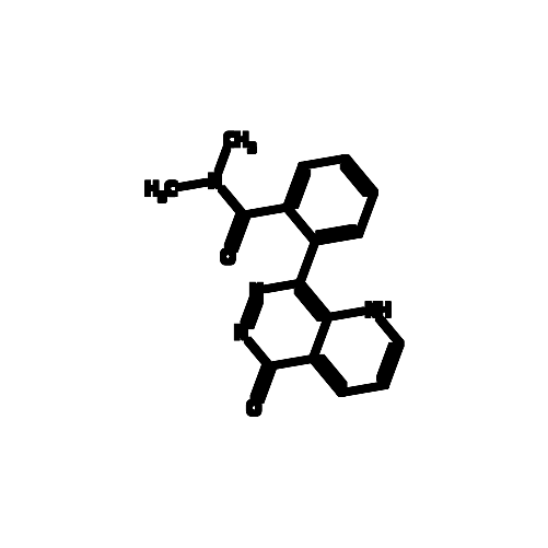 CN(C)C(=O)c1ccccc1-c1nnc(=O)c2ccc[nH]c1-2